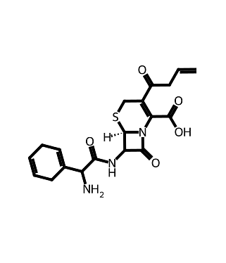 C=CCC(=O)C1=C(C(=O)O)N2C(=O)C(NC(=O)C(N)C3=CCC=CC3)[C@H]2SC1